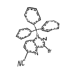 N#Cc1ccc2c(n1)c(Br)nn2C(c1ccccc1)(c1ccccc1)c1ccccc1